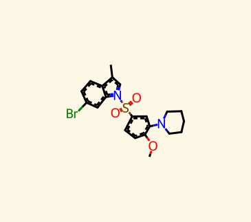 COc1ccc(S(=O)(=O)n2cc(C)c3ccc(Br)cc32)cc1N1CCCCC1